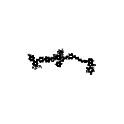 CC1(C)CCC(c2ccc(Cl)cc2)=C(CN2CCN(c3ccc(C(=O)NS(=O)(=O)c4ccc(N[C@H](CCN5CCN(CCCCCCC#Cc6cccc7c6CN(C6CCC(=O)NC6=O)C7=O)CC5)CSc5ccccc5)c(S(=O)(=O)C(F)(F)F)c4)cc3)CC2)C1